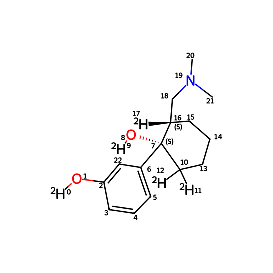 [2H]Oc1cccc([C@]2(O[2H])C([2H])([2H])CCC[C@@]2([2H])CN(C)C)c1